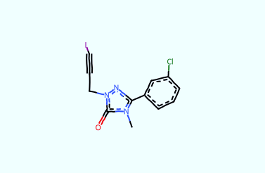 Cn1c(-c2cccc(Cl)c2)nn(CC#CI)c1=O